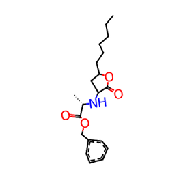 CCCCCCC1CC(N[C@@H](C)C(=O)OCc2ccccc2)C(=O)O1